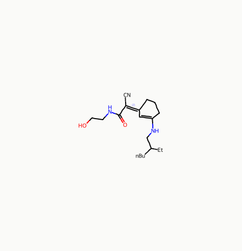 CCCCC(CC)CNC1=C/C(=C(/C#N)C(=O)NCCO)CCC1